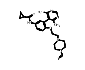 Cc1ncnc(C)c1-c1cc(NC(=O)C2CC2)ccc1OCCN1CCN(C=O)CC1